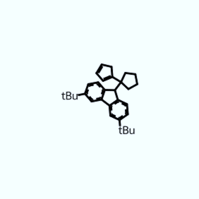 CC(C)(C)c1ccc2c(c1)-c1cc(C(C)(C)C)ccc1C2C1(C2=CC=CC2)CCCC1